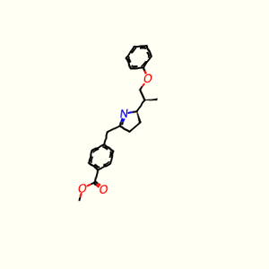 COC(=O)c1ccc(CC2=N[C@@H]([C@H](C)COc3ccccc3)CC2)cc1